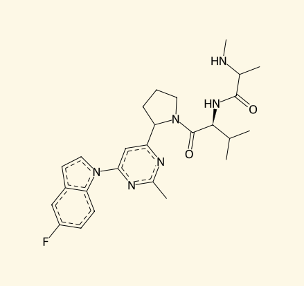 CNC(C)C(=O)N[C@H](C(=O)N1CCCC1c1cc(-n2ccc3cc(F)ccc32)nc(C)n1)C(C)C